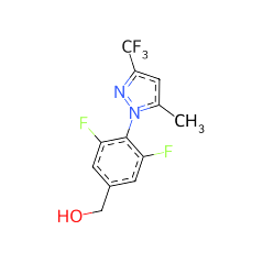 Cc1cc(C(F)(F)F)nn1-c1c(F)cc(CO)cc1F